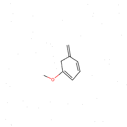 C=C1C=CC=C(OC)C1